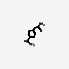 C[C@H](N)c1ccc(CC(N)=O)cc1